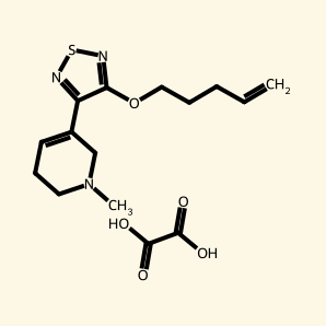 C=CCCCOc1nsnc1C1=CCCN(C)C1.O=C(O)C(=O)O